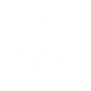 COc1cnc2cc(C3CCNCC3)c(=O)n(Cc3ncccc3C(F)(F)F)c2n1